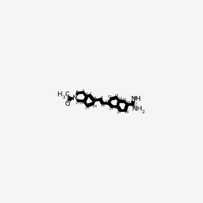 CC(=O)N1CCc2cc(C=Cc3ccc4cc(C(=N)N)ccc4c3)ccc2C1